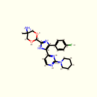 CC1(N)COC(c2nc(-c3ccc(F)cc3)c(-c3ccnc(N4CC[CH]CC4)n3)[nH]2)OC1